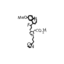 COc1ccc2nccc(C(F)CC[C@@H]3CCN(CCCc4ncco4)C[C@@H]3CC(=O)O)c2c1